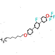 CCCCCCCCOc1ccc(-c2ccc(-c3ccc(OC(F)(F)F)cc3)c(F)c2)cc1